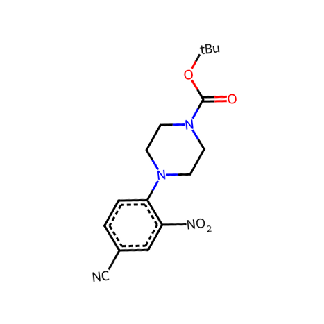 CC(C)(C)OC(=O)N1CCN(c2ccc(C#N)cc2[N+](=O)[O-])CC1